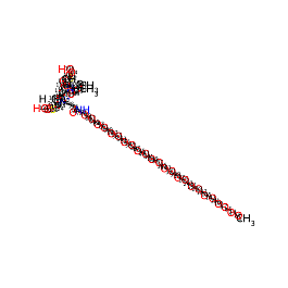 COCCOCCOCCOCCOCCOCCOCCOCCOCCOCCOCCOCCOCCOCCOCCOCCOCCOCCOCCOCCOCCOCCOCCOCCNC(=O)CCCCC[N+]1=C(C=CC=C2Oc3ccc(C(C)(C)C)cc3N2CCCSOOO)C(C)(CCCCCC(=O)OC)c2cc(SOOO)ccc21